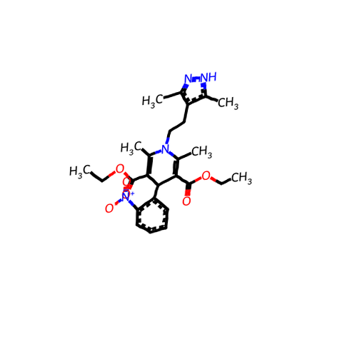 CCOC(=O)C1=C(C)N(CCc2c(C)n[nH]c2C)C(C)=C(C(=O)OCC)C1c1ccccc1[N+](=O)[O-]